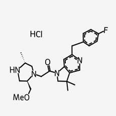 COC[C@H]1CN[C@H](C)CN1CC(=O)N1CC(C)(C)c2cnc(Cc3ccc(F)cc3)cc21.Cl